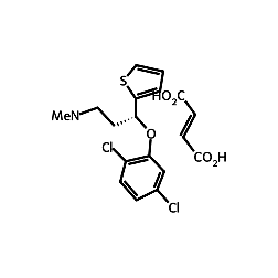 CNCC[C@@H](Oc1cc(Cl)ccc1Cl)c1cccs1.O=C(O)/C=C/C(=O)O